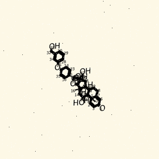 C[C@]12C=CC(=O)C=C1CC[C@@H]1[C@@H]2[C@@H](O)C[C@@]2(C)[C@H]1C[C@H]1O[C@@H](C3=CCC(Oc4cccc(CO)c4)C=C3)O[C@]12C(=O)CO